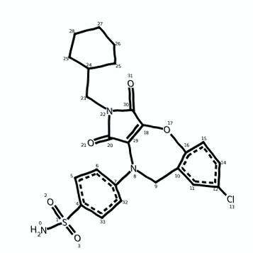 NS(=O)(=O)c1ccc(N2Cc3cc(Cl)ccc3OC3=C2C(=O)N(CC2CCCCC2)C3=O)cc1